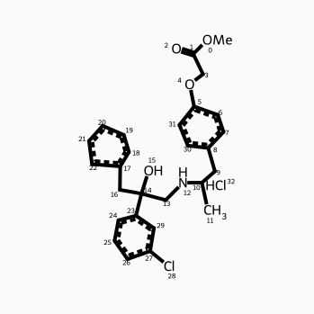 COC(=O)COc1ccc(CC(C)NCC(O)(Cc2ccccc2)c2cccc(Cl)c2)cc1.Cl